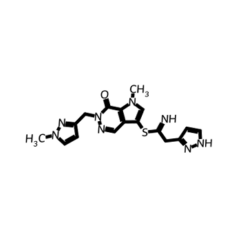 Cn1ccc(Cn2ncc3c(SC(=N)Cc4cc[nH]n4)cn(C)c3c2=O)n1